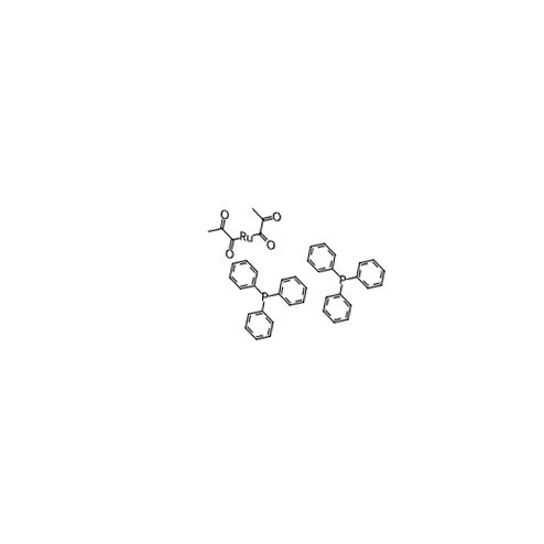 CC(=O)[C](=O)[Ru][C](=O)C(C)=O.c1ccc(P(c2ccccc2)c2ccccc2)cc1.c1ccc(P(c2ccccc2)c2ccccc2)cc1